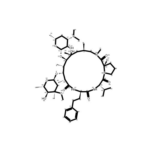 CO[C@]1(C)C[C@H](O[C@@H]2[C@H](C)[C@@H](O[C@@H]3O[C@H](C)C[C@H](N(C)C)[C@H]3O)[C@](C)(O)C[C@@H](C)CN(C)C(=O)[C@@H]3CCCN3C(=O)[C@H](C(C)C)NC(=O)[C@@H](CCc3ccccc3)NC(=O)[C@@H]2C)O[C@@H](C)[C@@H]1O